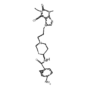 Cn1c(=O)c2c(ncn2CCCN2CCC(NC(=O)c3ccc(N)cc3)CC2)n(C)c1=O